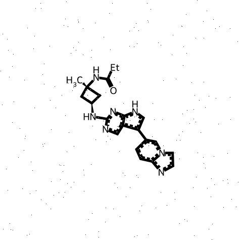 CCC(=O)N[C@]1(C)C[C@@H](Nc2ncc3c(-c4ccc5nccn5c4)c[nH]c3n2)C1